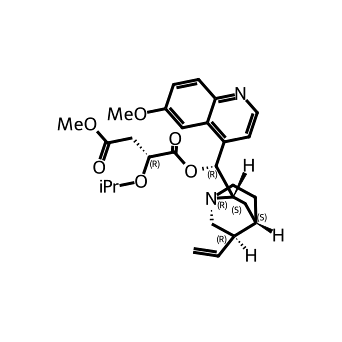 C=C[C@H]1C[N@]2CC[C@H]1C[C@H]2[C@H](OC(=O)[C@@H](CC(=O)OC)OC(C)C)c1ccnc2ccc(OC)cc12